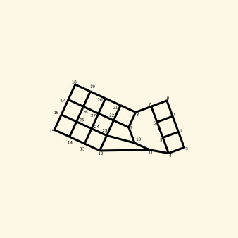 C1C2C3CC4C3C2C1C1C2C3C4C4C5C6CC7C8CC9C%10C1C21C34C52C76C89C%1012